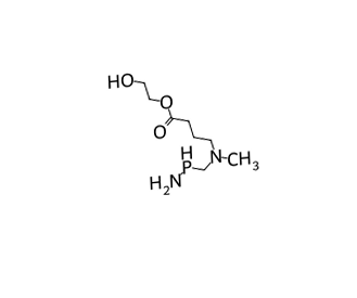 CN(CCCC(=O)OCCO)CPN